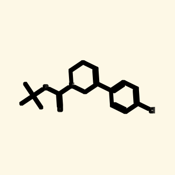 CC(C)(C)OC(=O)N1CCC=C(c2ccc(Cl)cc2)C1